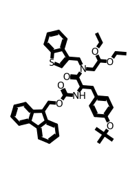 CCOC(CN(Cc1csc2ccccc12)C(=O)C(Cc1ccc(OC(C)(C)C)cc1)NC(=O)OCC1c2ccccc2-c2ccccc21)OCC